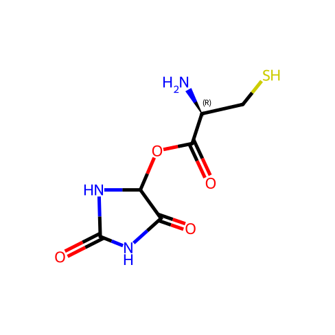 N[C@@H](CS)C(=O)OC1NC(=O)NC1=O